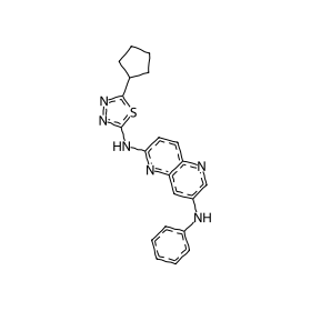 c1ccc(Nc2cnc3ccc(Nc4nnc(C5CCCC5)s4)nc3c2)cc1